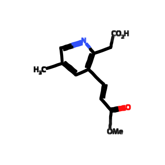 COC(=O)C=Cc1cc(C)cnc1CC(=O)O